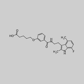 Cc1[nH]c2c(F)ccc(C)c2c1CCNC(=O)c1cccc(OCCCCC(=O)O)c1